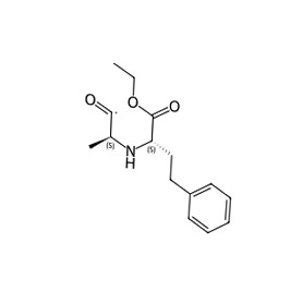 CCOC(=O)[C@H](CCc1ccccc1)N[C@@H](C)[C]=O